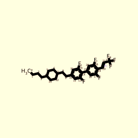 CCCCC1CCC(CCc2cc(F)c(-c3cc(F)c(/C=C/C(F)(F)F)c(F)c3)c(F)c2)CC1